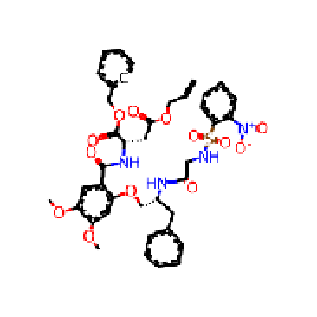 C=CCOC(=O)C[C@H](NC(=O)c1cc(OC)c(OC)cc1OC[C@@H](Cc1ccccc1)NC(=O)CNS(=O)(=O)c1ccccc1[N+](=O)[O-])C(=O)OCc1ccccc1